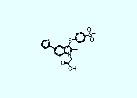 Cc1c(Sc2ccc(S(C)(=O)=O)cc2)c2cc(-c3cccs3)ccc2n1CC(=O)O